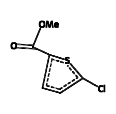 COC(=O)c1ccc(Cl)s1